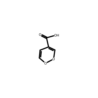 O=C(O)C1=COOC=C1